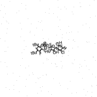 CC(C)(C)c1cc(C(C)(C)C)c2c(c1F)COP(=O)(OC[C@@]1(F)O[C@@H](n3cc(Cl)c(=S)[nH]c3=O)[C@H](O)[C@@H]1O)O2